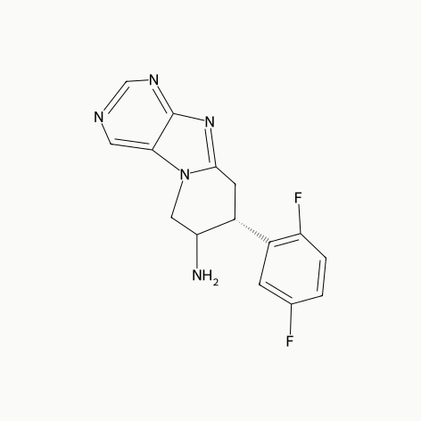 NC1Cn2c(nc3ncncc32)C[C@@H]1c1cc(F)ccc1F